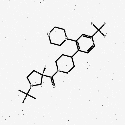 CC(C)(C)N1CC[C@](F)(C(=O)N2CCC(c3ccc(C(F)(F)F)cc3N3CCOCC3)CC2)C1